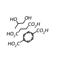 CC(O)CO.O=C(O)CCC(=O)O.O=C(O)c1ccc(C(=O)O)cc1